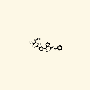 C[C@@H](O)[C@H](NC(=O)[C@@H]1CCN(C(=O)[C@H]2CCCN2C(=O)OCc2ccccc2)C1)C(N)=O